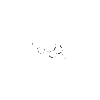 CCOC(=O)[C@@]1(n2cnc3c(N)ncnc32)O[C@H](CO)[C@@H](O)[C@H]1O